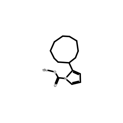 CC(C)(C)OC(=O)n1cccc1C1CCCCCCCCC1